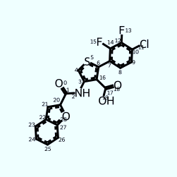 O=C(Nc1csc(-c2ccc(Cl)c(F)c2F)c1C(=O)O)c1cc2ccccc2o1